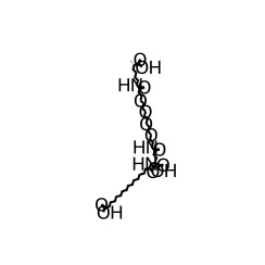 C[C@@H](CCCCNC(=O)CCOCCOCCOCCOCCNC(=O)CC[C@H](NC(=O)CCCCCCCCCCCCCCC(=O)O)C(=O)O)C(=O)O